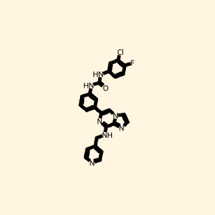 O=C(Nc1cccc(-c2cn3ccnc3c(NCc3ccncc3)n2)c1)Nc1ccc(F)c(Cl)c1